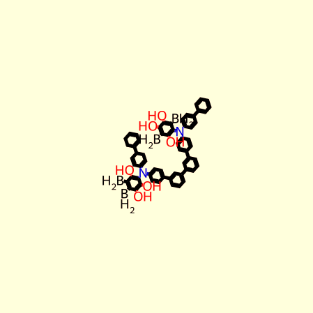 Bc1c(B)c(O)c(N(C2=CCC(C3=CC=CCC3)C=C2)c2ccc(-c3cccc(-c4cccc(-c5ccc(N(c6ccc(-c7ccccc7)cc6)c6c(B)c(O)c(O)c(B)c6O)cc5)c4)c3)cc2)c(O)c1O